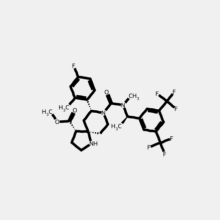 COC(=O)[C@H]1CCN[C@@]12CCN(C(=O)N(C)[C@H](C)c1cc(C(F)(F)F)cc(C(F)(F)F)c1)[C@@H](c1ccc(F)cc1C)C2